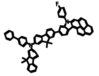 CC1(C)c2ccccc2-c2ccc(N(c3ccc(-c4ccccc4)cc3)c3ccc4c(c3)C(C)(C)c3cc(-c5ccc6c7c8ccc9cccc%10ccc(cc7n(-c7ccc(F)cc7)c6c5)c8c%109)ccc3-4)cc21